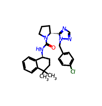 CC1(C)CC[C@H](NC(=O)N2CCC[C@@H]2c2ncnn2Cc2ccc(Cl)cc2)c2ccccc21